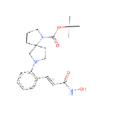 CC(C)(C)OC(=O)N1CCCC12CCN(c1ccccc1/C=C/C(=O)NO)C2